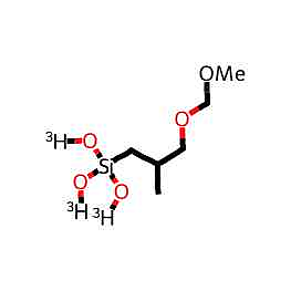 [3H]O[Si](CC(C)COCOC)(O[3H])O[3H]